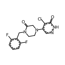 O=C1CN(c2cn[nH]c(=O)c2Cl)CCN1Cc1c(F)cccc1F